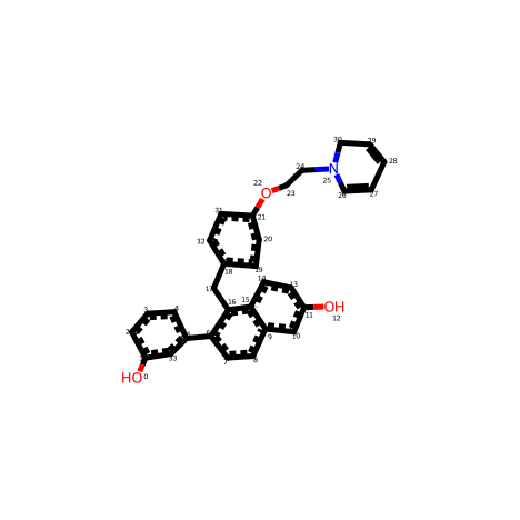 Oc1cccc(-c2ccc3cc(O)ccc3c2Cc2ccc(OCCN3C=CC=CC3)cc2)c1